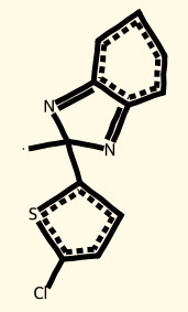 [CH2]C1(c2ccc(Cl)s2)N=c2ccccc2=N1